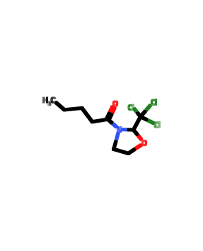 CCCCC(=O)N1CCOC1C(Cl)(Cl)Cl